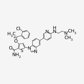 C[C@@H](Oc1cc(-n2cnc3cc(-c4ccc(NCCN(C)C)nc4)ccc32)sc1C(N)=O)c1ccccc1Cl